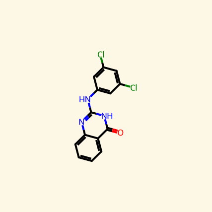 O=c1[nH]c(Nc2cc(Cl)cc(Cl)c2)nc2ccccc12